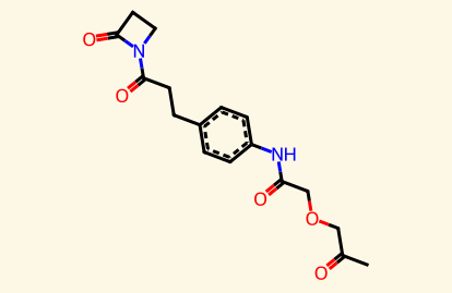 CC(=O)COCC(=O)Nc1ccc(CCC(=O)N2CCC2=O)cc1